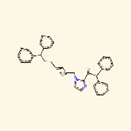 B(c1nccn1C[SiH2]C=CCCC(c1ccccc1)c1ccccc1)C(c1ccccc1)c1ccccc1